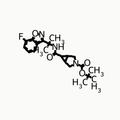 CC(C)(C)OC(=O)N1CC2C(C1)C2C(=O)NC(C)(C)c1noc2c(F)cccc12